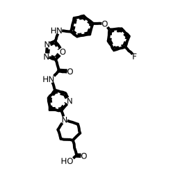 O=C(Nc1ccc(N2CCC(C(=O)O)CC2)nc1)c1nnc(Nc2ccc(Oc3ccc(F)cc3)cc2)o1